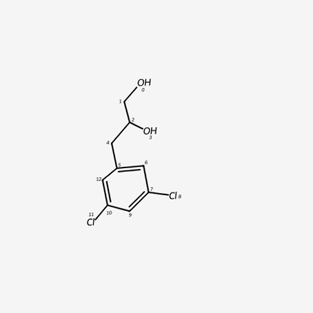 OCC(O)Cc1cc(Cl)cc(Cl)c1